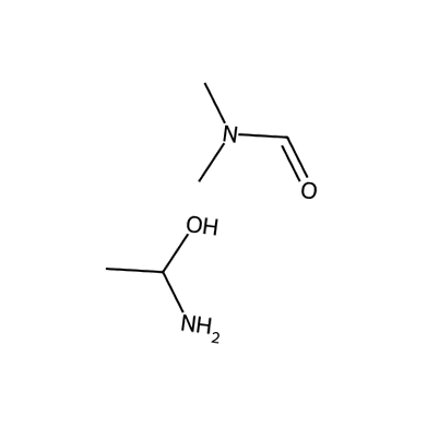 CC(N)O.CN(C)C=O